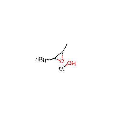 CCCCC1OC1C.CCO